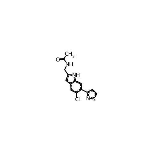 CC(=O)NCc1cc2cc(Cl)c(-c3ccsn3)cc2[nH]1